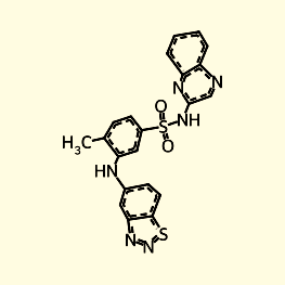 Cc1ccc(S(=O)(=O)Nc2cnc3ccccc3n2)cc1Nc1ccc2snnc2c1